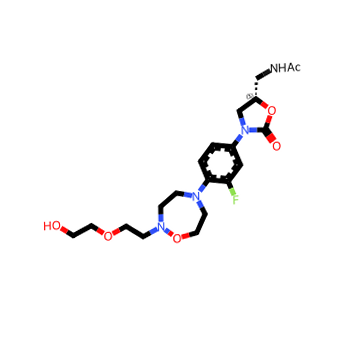 CC(=O)NC[C@H]1CN(c2ccc(N3CCON(CCOCCO)CC3)c(F)c2)C(=O)O1